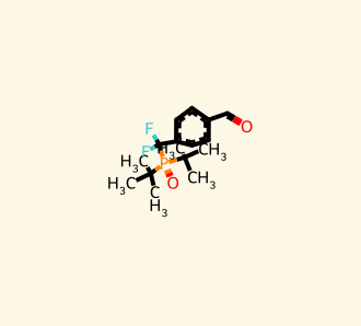 CC(C)(C)P(=O)(C(C)(C)C)C(F)(F)c1ccc(C=O)cc1